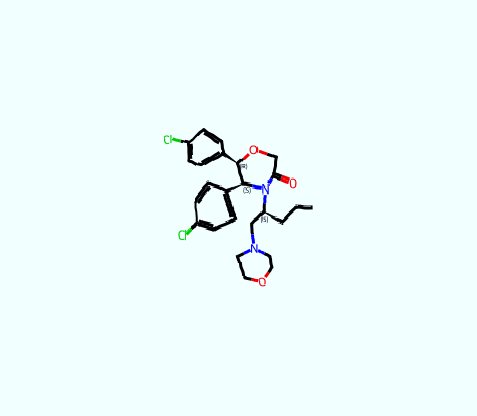 CCC[C@@H](CN1CCOCC1)N1C(=O)CO[C@H](c2ccc(Cl)cc2)[C@@H]1c1ccc(Cl)cc1